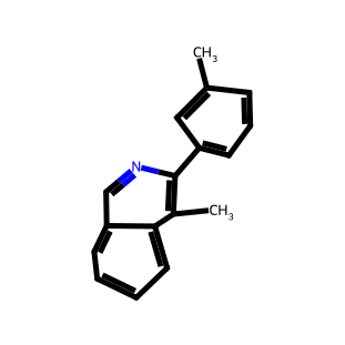 Cc1cccc(-c2ncc3ccccc3c2C)c1